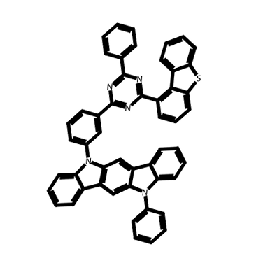 c1ccc(-c2nc(-c3cccc(-n4c5ccccc5c5cc6c(cc54)c4ccccc4n6-c4ccccc4)c3)nc(-c3cccc4sc5ccccc5c34)n2)cc1